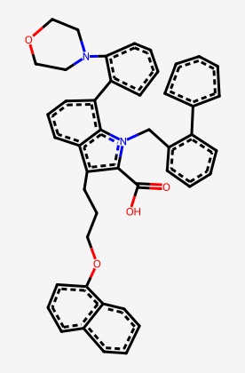 O=C(O)c1c(CCCOc2cccc3ccccc23)c2cccc(-c3ccccc3N3CCOCC3)c2n1Cc1ccccc1-c1ccccc1